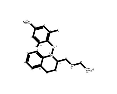 COc1cc(C)c(SN2c3ccccc3CCC2COCC(=O)O)c(C)c1